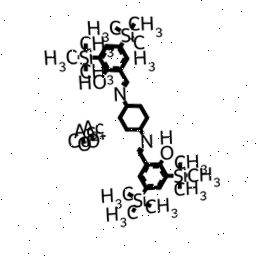 CC(=O)[O-].CC(=O)[O-].C[Si](C)(C)c1cc(C=NC2CCC(N=Cc3cc([Si](C)(C)C)cc([Si](C)(C)C)c3O)CC2)c(O)c([Si](C)(C)C)c1.[Co+2]